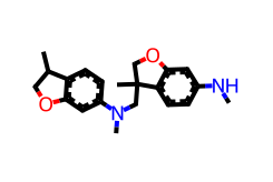 CNc1ccc2c(c1)OCC2(C)CN(C)c1ccc2c(c1)OCC2C